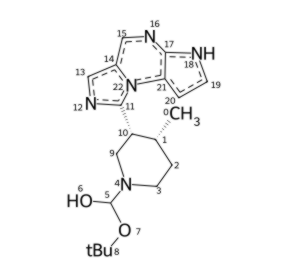 C[C@@H]1CCN(C(O)OC(C)(C)C)C[C@@H]1c1ncc2cnc3[nH]ccc3n12